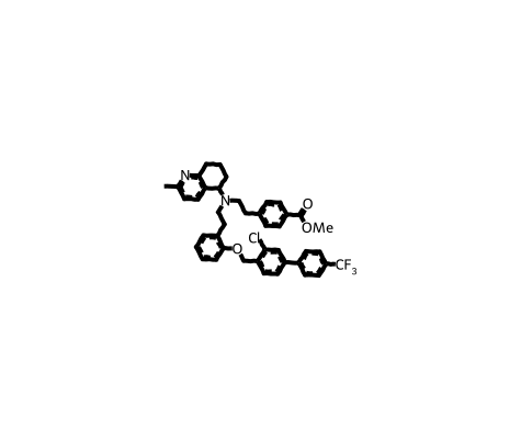 COC(=O)c1ccc(CCN(CCc2ccccc2OCc2ccc(-c3ccc(C(F)(F)F)cc3)cc2Cl)C2CCCc3nc(C)ccc32)cc1